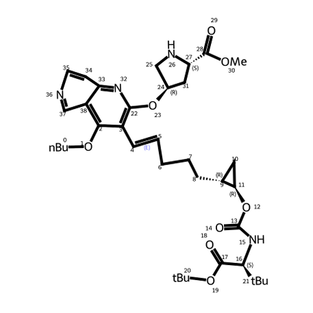 CCCCOc1c(/C=C/CCC[C@@H]2C[C@H]2OC(=O)N[C@H](C(=O)OC(C)(C)C)C(C)(C)C)c(O[C@H]2CN[C@H](C(=O)OC)C2)nc2ccncc12